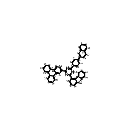 c1ccc2cc(-c3ccc(-c4nc(-c5ccc6c7ccccc7c7ccccc7c6c5)nc(-c5cccc6oc7ccccc7c56)n4)cc3)ccc2c1